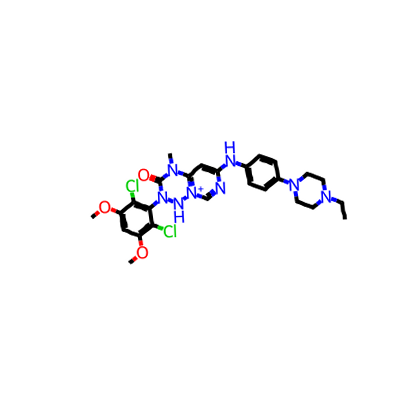 CCN1CCN(c2ccc(Nc3cc4[n+](cn3)NN(c3c(Cl)c(OC)cc(OC)c3Cl)C(=O)N4C)cc2)CC1